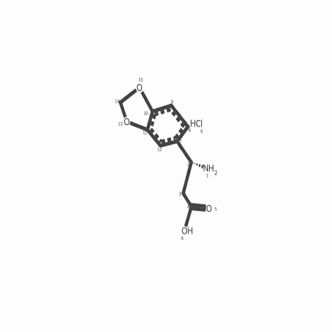 Cl.N[C@H](CC(=O)O)c1ccc2c(c1)OCO2